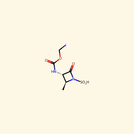 C[C@H]1[C@H](NC(=O)OCI)C(=O)N1S(=O)(=O)O